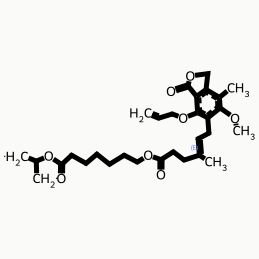 [CH2]C([CH2])OC(=O)CCCCCCOC(=O)CC/C(C)=C/Cc1c(OC)c(C)c2c(c1OCC=C)C(=O)OC2